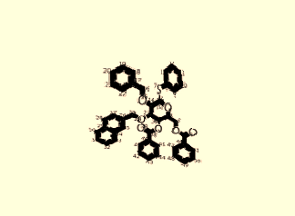 O=C(OCC1O[C@@H](Sc2ccccc2)C(OCc2ccccc2)C(OCc2ccc3ccccc3c2)[C@H]1OC(=O)c1ccccc1)c1ccccc1